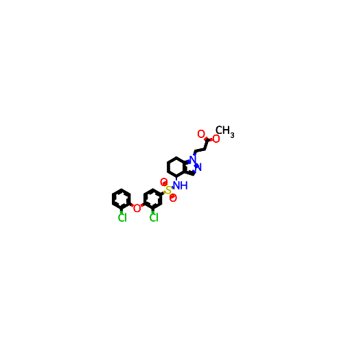 COC(=O)CCn1ncc2c1CCC[C@H]2NS(=O)(=O)c1ccc(Oc2ccccc2Cl)c(Cl)c1